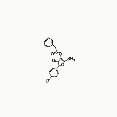 NC1=C(OS(=O)Cc2ccccc2)C(=O)C(c2ccc(Cl)cc2)O1